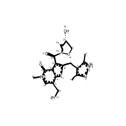 Cc1n[nH]c(C)c1Cc1sc2c(CC(C)C)cn(C)c(=O)c2c1C(=O)N1C[C@H](O)CO1